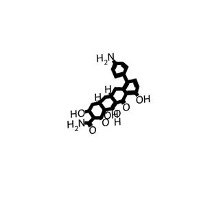 NC(=O)C1C(=O)[C@@]2(O)C(O)=C3C(=O)c4c(O)ccc(-c5ccc(N)cc5)c4C[C@H]3C[C@H]2CC1O